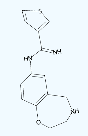 N=C(Nc1ccc2c(c1)CNCCO2)c1ccsc1